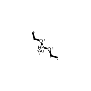 CCOPOCC.[Au]